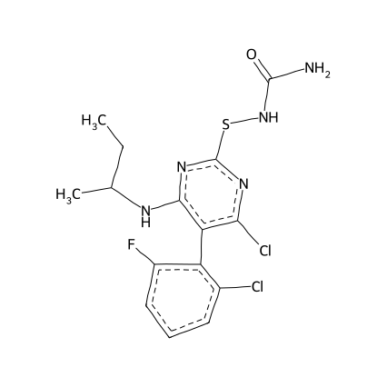 CCC(C)Nc1nc(SNC(N)=O)nc(Cl)c1-c1c(F)cccc1Cl